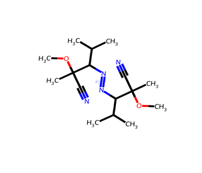 COC(C)(C#N)C(/N=N/C(C(C)C)C(C)(C#N)OC)C(C)C